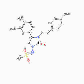 COc1ccc(CCN2C(=O)N(NS(C)(=O)=O)CC2c2ccc(C)c(OC)c2)cc1